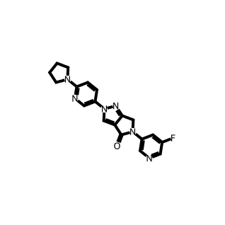 O=C1c2cn(-c3ccc(N4CCCC4)nc3)nc2CN1c1cncc(F)c1